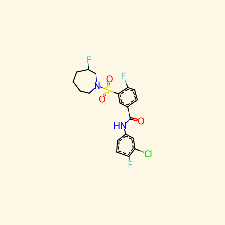 O=C(Nc1ccc(F)c(Cl)c1)c1ccc(F)c(S(=O)(=O)N2CCCCC(F)C2)c1